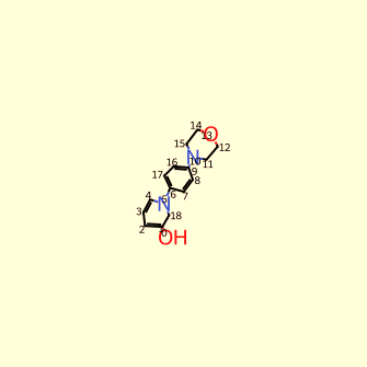 OC1=CC=CN(c2ccc(N3CCOCC3)cc2)C1